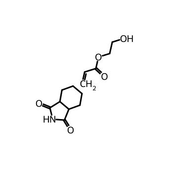 C=CC(=O)OCCO.O=C1NC(=O)C2CCCCC12